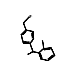 Cc1ccccc1C(C)c1ccc(CC(C)C)cc1